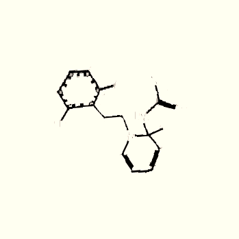 NC(=S)NC1(Cl)C=CC=CN1CCc1c(F)cccc1Cl